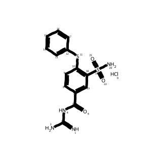 Cl.N=C(N)NC(=O)c1ccc(Sc2ccccc2)c(S(N)(=O)=O)c1